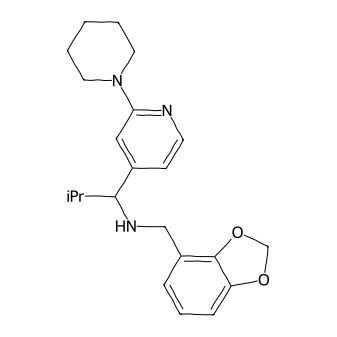 CC(C)C(NCc1cccc2c1OCO2)c1ccnc(N2CCCCC2)c1